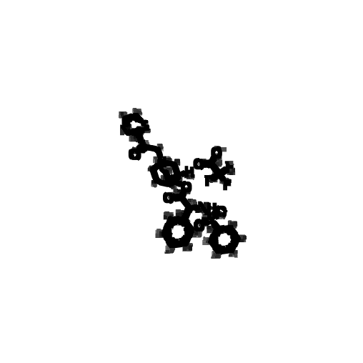 O=C(C[N+]12CCC(CC1)[C@@H](OC(=O)C(NS(=O)(=O)c1ccccc1)c1ccccc1)C2)c1nccs1.O=C([O-])C(F)(F)F